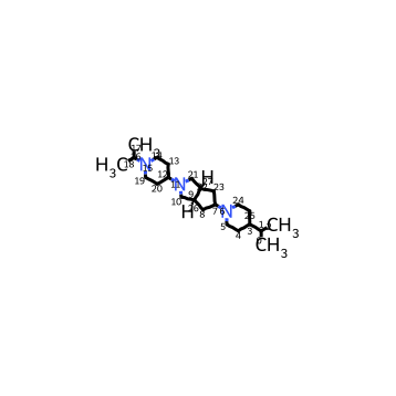 CC(C)C1CCN(C2C[C@@H]3CN(C4CCN(C(C)C)CC4)C[C@@H]3C2)CC1